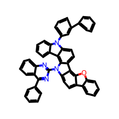 c1ccc(-c2cccc(-n3c4ccccc4c4c3ccc3c5c6oc7ccccc7c6ccc5n(-c5nc(-c6ccccc6)c6ccccc6n5)c34)c2)cc1